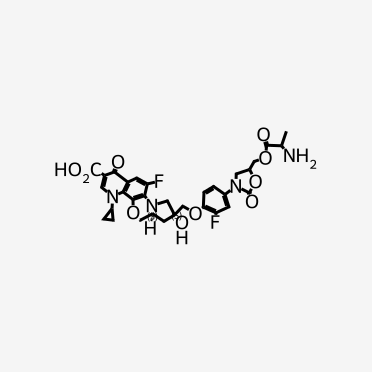 CC(N)C(=O)OCC1CN(c2ccc(OC[C@]3(O)C[C@H]4COc5c(c(F)cc6c(=O)c(C(=O)O)cn(C7CC7)c56)N4C3)c(F)c2)C(=O)O1